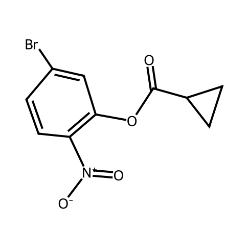 O=C(Oc1cc(Br)ccc1[N+](=O)[O-])C1CC1